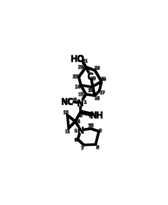 N#CN(C(=N)C1(N2CCCCC2)CC1)C1C2CC3CC1CC(O)(C3)C2